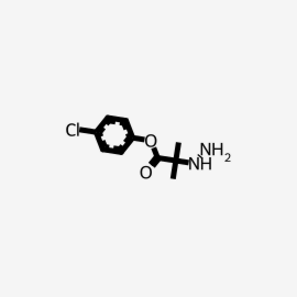 CC(C)(NN)C(=O)Oc1ccc(Cl)cc1